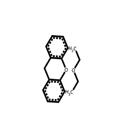 CCOCC.c1ccc2c(c1)Cc1ccccc1O2